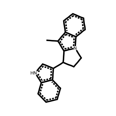 Cc1c2n(c3ccccc13)CCC2c1c[nH]c2ccccc12